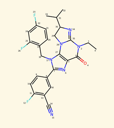 CCN1C(=O)c2nc(-c3ccc(F)c(C#N)c3)n(Cc3ccc(F)cc3F)c2N2CC(C(C)C)N=C12